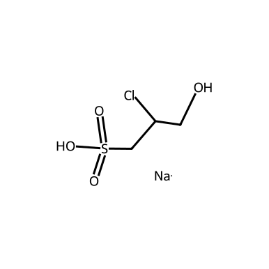 O=S(=O)(O)CC(Cl)CO.[Na]